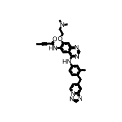 CC#CC(=O)Nc1cc2c(Nc3ccc(Cc4ccn5ncnc5c4)c(C)c3)ncnc2cc1OCCN(C)C